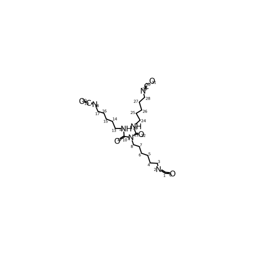 O=C=NCCCCCCN(C(=O)NCCCCCN=C=O)C(=O)NCCCCCN=C=O